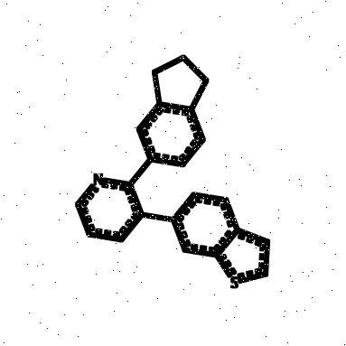 c1cnc(-c2ccc3c(c2)CCC3)c(-c2ccc3ccsc3c2)c1